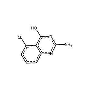 Nc1nc(O)c2c(Cl)cccc2n1